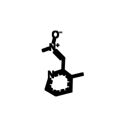 Cc1cccnc1/C=[N+](\C)[O-]